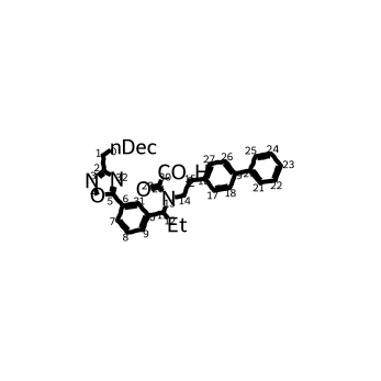 CCCCCCCCCCCc1noc(-c2cccc(C(CC)N(CCc3ccc(-c4ccccc4)cc3)C(=O)C(=O)O)c2)n1